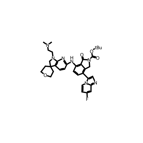 CN(C)CCN1CC2(CCOCC2)c2ccc(Nc3ccc(-c4cnc5cc(F)ccn45)c4c3C(=O)N(C(=O)OC(C)(C)C)C4)nc21